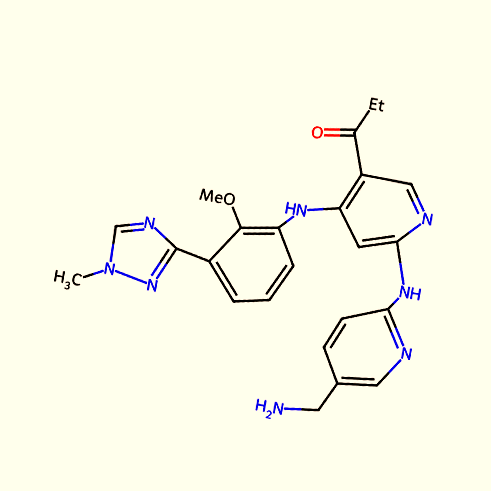 CCC(=O)c1cnc(Nc2ccc(CN)cn2)cc1Nc1cccc(-c2ncn(C)n2)c1OC